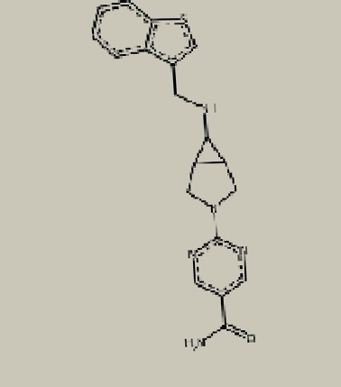 NC(=O)c1cnc(N2CC3C(C2)C3NCc2csc3ccccc23)nc1